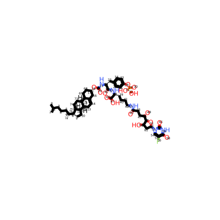 CC(C)CCC[C@@H](C)[C@H]1CC[C@H]2[C@@H]3CC=C4C[C@@H](OC(=O)N[C@H](Cc5ccc(OP(=O)(O)O)cc5)C(=O)N[C@H](CCCCNC(=O)CCC(=O)C5OC(n6cc(F)c(=O)[nH]c6=O)CC5O)C(=O)O)CC[C@]4(C)[C@H]3CC[C@]12C